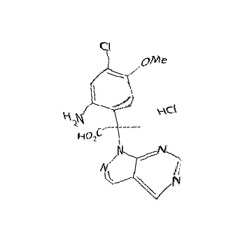 COc1cc(C(C)(C(=O)O)n2ncc3cncnc32)c(N)cc1Cl.Cl